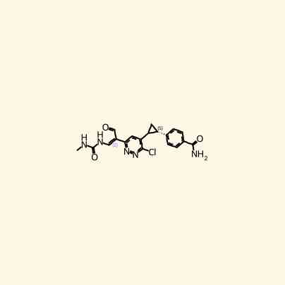 CNC(=O)N/C=C(\C=O)c1cc(C2C[C@@H]2c2ccc(C(N)=O)cc2)c(Cl)nn1